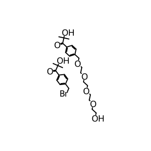 CC(C)(O)C(=O)c1ccc(CBr)cc1.CC(C)(O)C(=O)c1ccc(COCCOCCOCCOCCO)cc1